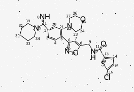 N=C(c1ccc(-c2cc(CNC(=O)c3ccc(Cl)s3)on2)c(N2CCOCC2)c1)N1CCCCC1